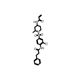 C=CC(=O)NC1CCN(S(=O)(=O)c2ccc(NC(=O)CCc3ccccc3)c(Cl)c2)C(C)C1